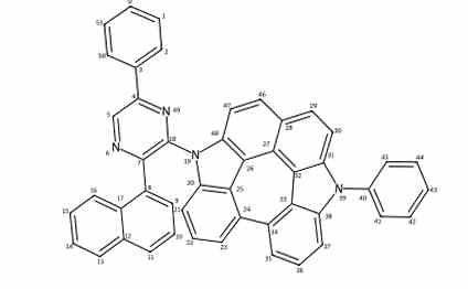 c1ccc(-c2cnc(-c3cccc4ccccc34)c(-n3c4cccc5c4c4c6c(ccc7c6c6c-5cccc6n7-c5ccccc5)ccc43)n2)cc1